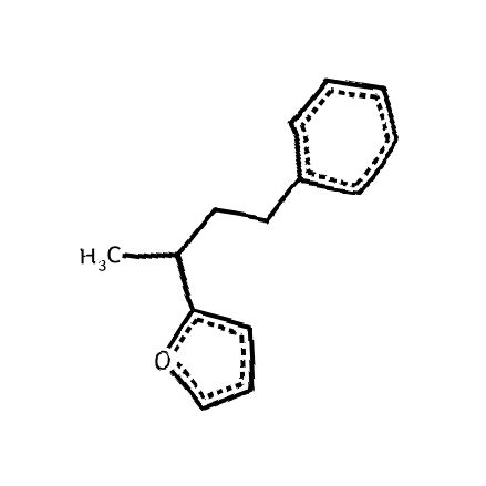 CC(CCc1ccccc1)c1ccco1